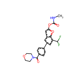 CNC(=O)Oc1cc2cc(-c3ccc(C(=O)N4CCOCC4)cc3)cc(C(F)F)c2o1